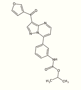 CC(C)OC(=O)Nc1cccc(-c2ccnc3c(C(=O)c4ccoc4)cnn23)c1